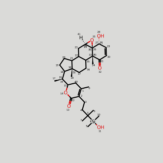 CC1=C(CCC(C)(C)[Si](C)(C)O)C(=O)OC([C@@H](C)C2CCC3C4C[C@H]5O[C@]56[C@H](O)C=CC(=O)[C@]6(C)C4CC[C@@]32C)C1